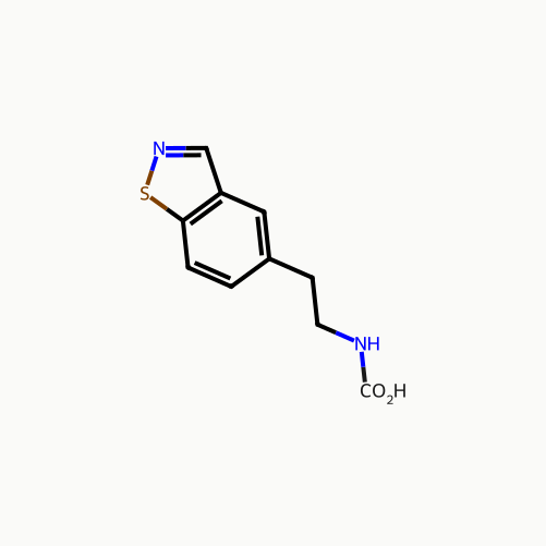 O=C(O)NCCc1ccc2sncc2c1